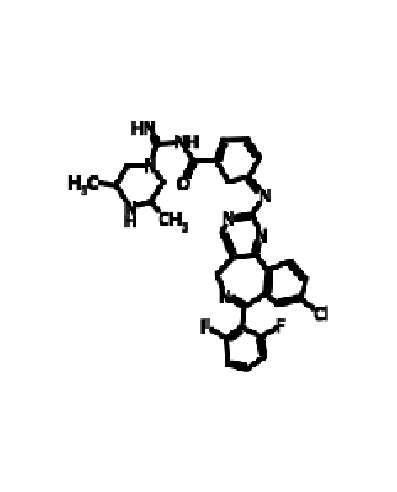 CC1CN(C(=N)NC(=O)C2=CC=CC(=Nc3ncc4c(n3)-c3ccc(Cl)cc3C(c3c(F)cccc3F)=NC4)C2)CC(C)N1